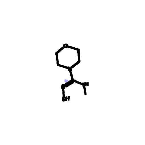 CN/C(=N\O)N1CCOCC1